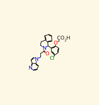 O=C(O)COc1ccc(Cl)cc1C1c2ccccc2CCN1C(=O)CCn1ccc2ncccc21